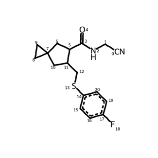 N#CCNC(=O)C1CC2(CC2)CC1CSc1ccc(F)cc1